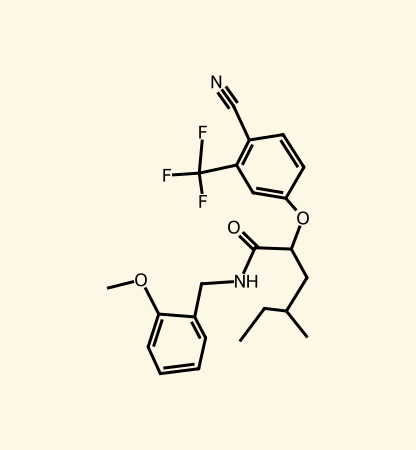 CCC(C)CC(Oc1ccc(C#N)c(C(F)(F)F)c1)C(=O)NCc1ccccc1OC